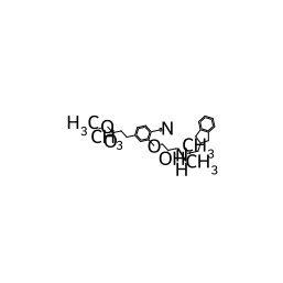 CC(C)OC(=O)CCc1ccc(C#N)c(OCC(O)CNC(C)(C)CC2Cc3ccccc3C2)c1